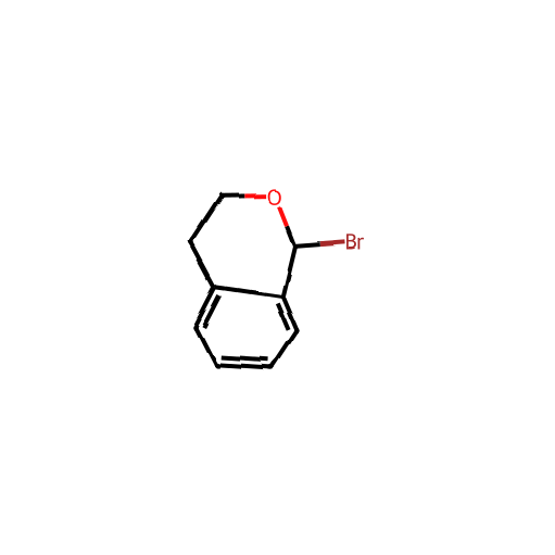 BrC1OCCc2ccccc21